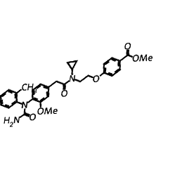 COC(=O)c1ccc(OCCN(C(=O)Cc2ccc(N(C(N)=O)c3ccccc3C)c(OC)c2)C2CC2)cc1